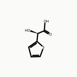 O=C(O)[C@H](O)c1cccs1